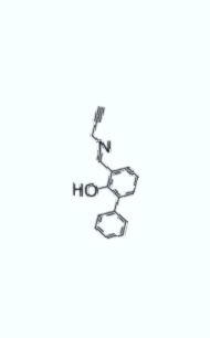 C#CCN=Cc1cccc(-c2ccccc2)c1O